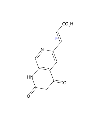 O=C(O)/C=C/c1cc2c(cn1)NC(=O)CC2=O